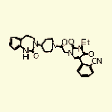 CCn1c(=O)c(-c2ccccc2C#N)cn(CC(=O)N2CCC(N3CCc4ccccc4NC3=O)CC2)c1=O